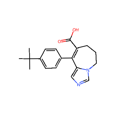 CC(C)(C)c1ccc(C2=C(C(=O)O)CCCn3cncc32)cc1